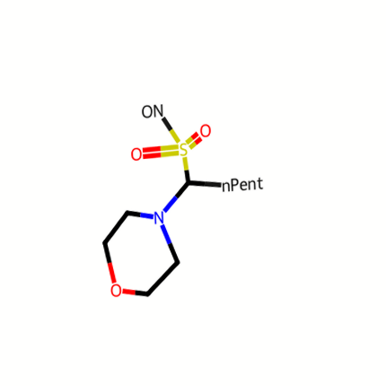 CCCCCC(N1CCOCC1)S(=O)(=O)N=O